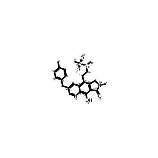 Cc1ccc(Cc2cnc3c(O)c4c(c(CCN(C)S(C)(=O)=O)c3c2)CN(C)C4=O)cc1